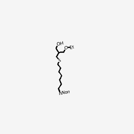 CCCCCCCCCCCCCCCCSCC(CO)COCC